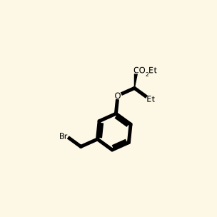 CCOC(=O)[C@@H](CC)Oc1cccc(CBr)c1